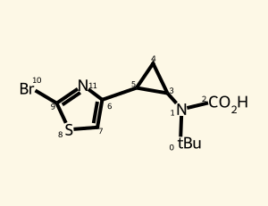 CC(C)(C)N(C(=O)O)C1CC1c1csc(Br)n1